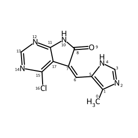 Cc1nc[nH]c1/C=C1\C(=O)Nc2ncnc(Cl)c21